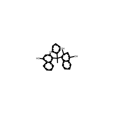 CC(c1ccccc1)(c1c(O)cc(O)c2ccccc12)c1c(O)cc(O)c2ccccc12